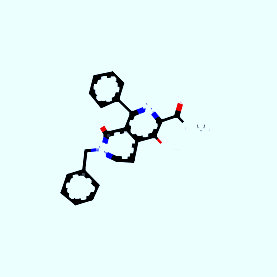 COC(=O)c1nc(-c2ccccc2)c2c(=O)n(Cc3ccccc3)ccc2c1O